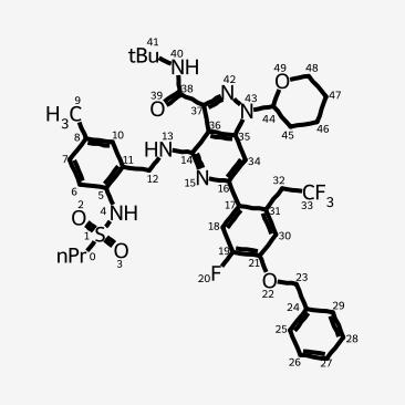 CCCS(=O)(=O)Nc1ccc(C)cc1CNc1nc(-c2cc(F)c(OCc3ccccc3)cc2CC(F)(F)F)cc2c1c(C(=O)NC(C)(C)C)nn2C1CCCCO1